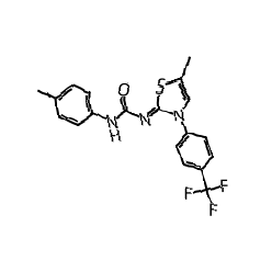 Cc1ccc(NC(=O)N=c2sc(C)cn2-c2ccc(C(F)(F)F)cc2)cc1